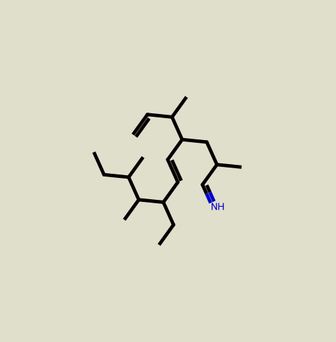 C=CC(C)C(C=CC(CC)C(C)C(C)CC)CC(C)C=N